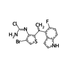 C=C(c1scc(Br)c1/N=C(\N)Cl)c1c(F)ccc2[nH]ccc12